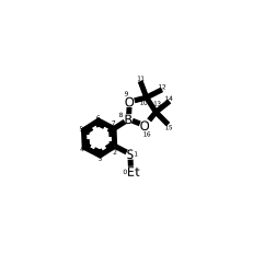 CCSc1ccccc1B1OC(C)(C)C(C)(C)O1